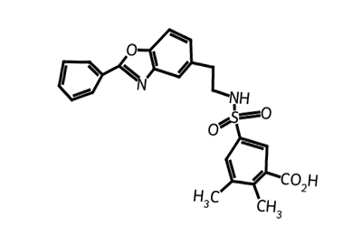 Cc1cc(S(=O)(=O)NCCc2ccc3oc(-c4ccccc4)nc3c2)cc(C(=O)O)c1C